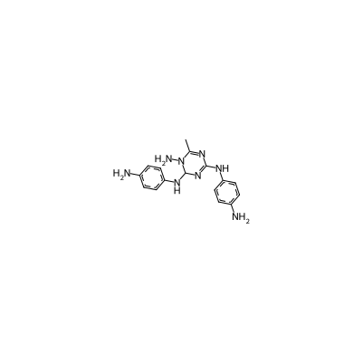 CC1=NC(Nc2ccc(N)cc2)=NC(Nc2ccc(N)cc2)N1N